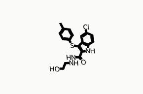 Cc1ccc(Sc2c(C(=O)NNCCO)[nH]c3ccc(Cl)cc23)cc1